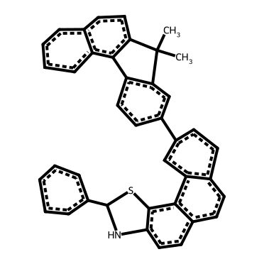 CC1(C)c2cc(-c3ccc4ccc5ccc6c(c5c4c3)SC(c3ccccc3)N6)ccc2-c2c1ccc1ccccc21